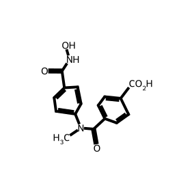 CN(C(=O)c1ccc(C(=O)O)cc1)c1ccc(C(=O)NO)cc1